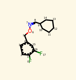 Fc1ccc(CO/N=[C]\C2CCCCC2)cc1F